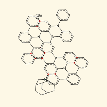 CC(C)(C)c1cc2c3c(c1)N(c1c(-c4ccccc4)cccc1-c1ccccc1)c1cc4c(cc1B3c1ccccc1N2c1ccccc1)B1c2ccccc2N(c2c(-c3ccccc3)cccc2-c2ccccc2)c2cc(N3CC5CCC6CC5CC3C6)cc(c21)N4c1ccccc1